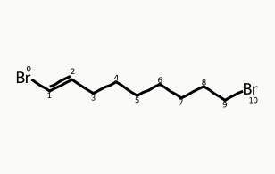 BrC=CCCCCCCCBr